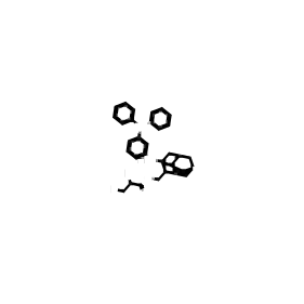 O=C(OCC1C2CC3CC(C2)CC1(O)C3)C(F)CF.c1ccc([S+](c2ccccc2)c2ccccc2)cc1